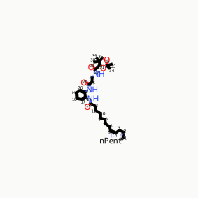 CCCCC/C=C\C/C=C\CCCCCCCC(=O)Nc1ccccc1NC(=O)CCNC(=O)C1OC(C)(C)OCC1(C)C